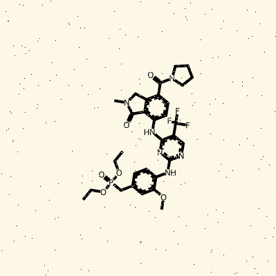 CCOP(=O)(Cc1ccc(Nc2ncc(C(F)(F)F)c(Nc3ccc(C(=O)N4CCCC4)c4c3C(=O)N(C)C4)n2)c(OC)c1)OCC